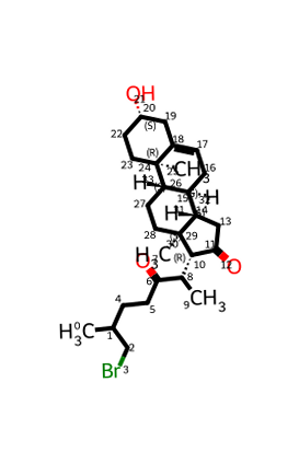 CC(CBr)CCC(=O)C(C)[C@H]1C(=O)C[C@H]2[C@@H]3CC=C4C[C@@H](O)CC[C@]4(C)[C@H]3CC[C@]12C